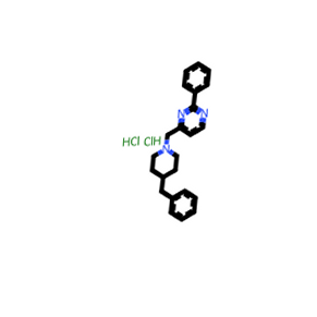 Cl.Cl.c1ccc(CC2CCN(Cc3ccnc(-c4ccccc4)n3)CC2)cc1